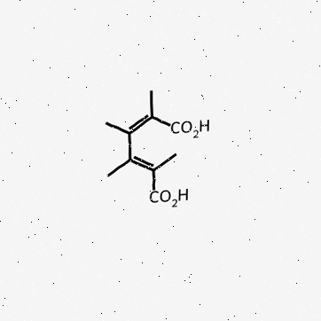 CC(C(=O)O)=C(C)C(C)=C(C)C(=O)O